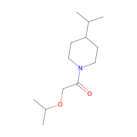 CC(C)OCC(=O)N1CCC(C(C)C)CC1